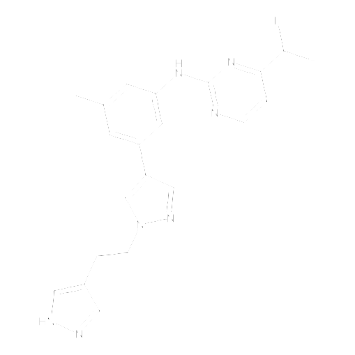 Cc1cc(Nc2nccc(C(F)F)n2)cc(-c2cnn(CCc3cn[nH]c3)c2)c1